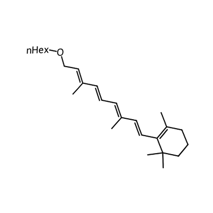 CCCCCCOC/C=C(C)/C=C/C=C(C)/C=C/C1=C(C)CCCC1(C)C